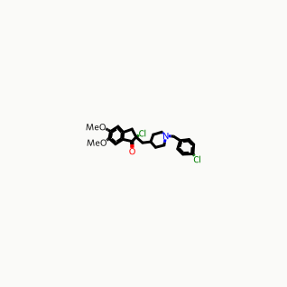 COc1cc2c(cc1OC)C(=O)C(Cl)(CC1CCN(Cc3ccc(Cl)cc3)CC1)C2